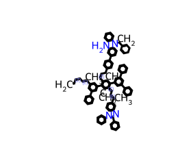 C=C=c1c(-c2cc(/C(C)=C/C=C\C=C)cc(-c3ccccc3)c2)c(/C=C\Cc2ccc(-c3ccc(N(C(=C)C4=CCCC=C4)c4ccccc4)c(N)c3)cc2)c(C)c(-c2cc(-c3ccccc3)cc(-c3ccccc3)c2)/c1=C/C=C(\C)c1ccc2c(c1)nc(-c1ccccc1)n2-c1ccccc1